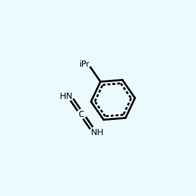 CC(C)c1ccccc1.N=C=N